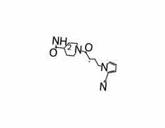 N#Cc1cccn1CC[CH]C(=O)N1CCC(C(N)=O)CC1